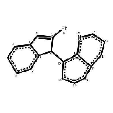 CCC1=Cc2ccccc2[C]1c1cccc2cccnc12